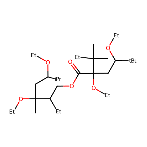 CCOC(CC(C)(OCC)C(CC)COC(=O)C(CC(OCC)C(C)(C)C)(OCC)C(C)(C)CC)C(C)C